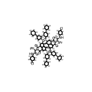 CC(C)C(C(=O)Nc1ccc(Cl)cc1)N1C(=O)c2cc(Oc3ccc(-c4ccccc4)cc3)c3c4c(Oc5ccc(-c6ccccc6)cc5)cc5c6c(cc(Oc7ccc(-c8ccccc8)cc7)c(c7c(Oc8ccc(-c9ccccc9)cc8)cc(c2c37)C1=O)c64)C(=O)N(C(C(=O)Nc1ccc(Cl)cc1)C(C)C)C5=O